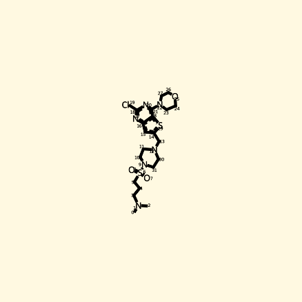 CN(C)CCCS(=O)(=O)N1CCN(Cc2cc3nc(Cl)nc(N4CCOCC4)c3s2)CC1